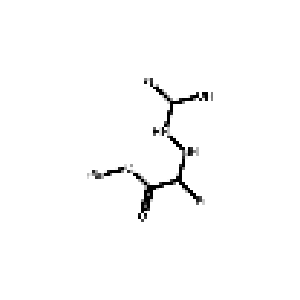 CCC(O)NNC(CC)C(=O)OC(C)(C)C